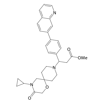 COC(=O)CC(c1ccc(-c2ccc3cccnc3c2)cc1)N1CCC2(CC1)CN(C1CC1)C(=O)CO2